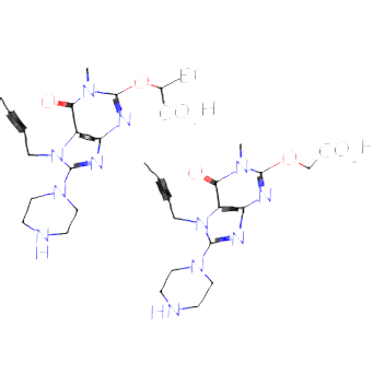 CC#CCn1c(N2CCNCC2)nc2nc(OC(CC)C(=O)O)n(C)c(=O)c21.CC#CCn1c(N2CCNCC2)nc2nc(OCC(=O)O)n(C)c(=O)c21